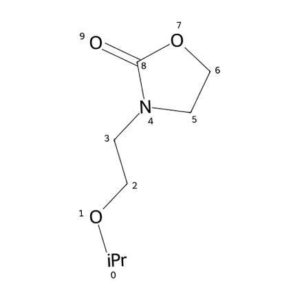 CC(C)OCCN1CCOC1=O